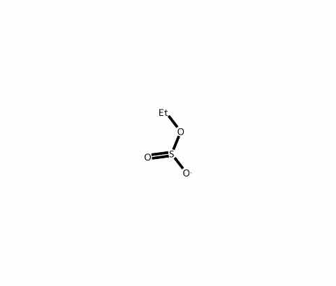 CCOS([O])=O